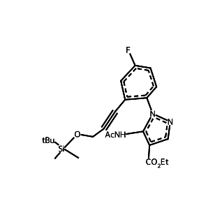 CCOC(=O)c1cnn(-c2ccc(F)cc2C#CCO[Si](C)(C)C(C)(C)C)c1NC(C)=O